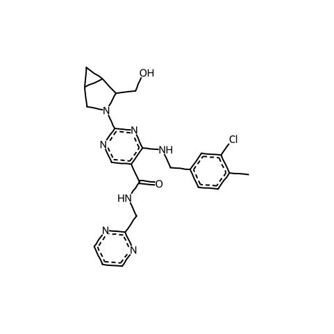 Cc1ccc(CNc2nc(N3CC4CC4C3CO)ncc2C(=O)NCc2ncccn2)cc1Cl